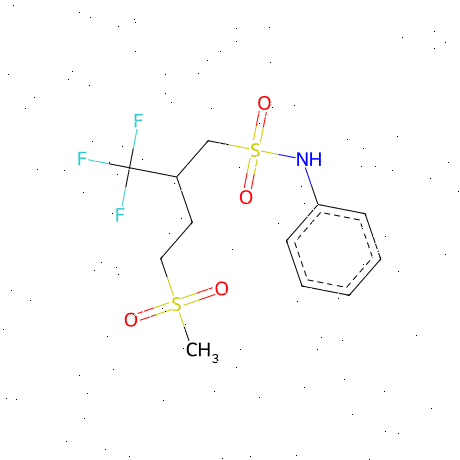 CS(=O)(=O)CCC(CS(=O)(=O)Nc1ccccc1)C(F)(F)F